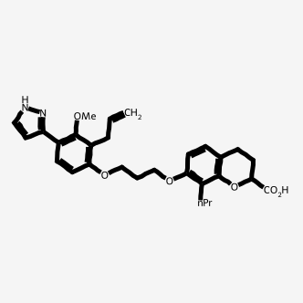 C=CCc1c(OCCCOc2ccc3c(c2CCC)OC(C(=O)O)CC3)ccc(-c2cc[nH]n2)c1OC